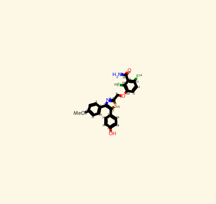 COc1ccc(-c2nc(COc3ccc(F)c(C(N)=O)c3F)sc2-c2ccc(O)cc2)cc1